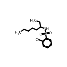 CCCCCC(CC)NS(=O)(=O)c1ccccc1Cl